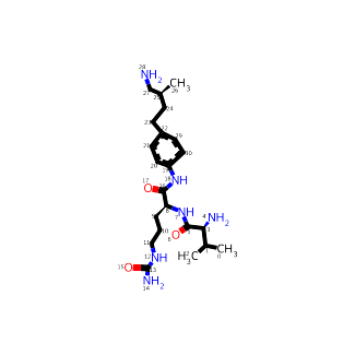 CC(C)[C@H](N)C(=O)N[C@@H](CCCNC(N)=O)C(=O)Nc1ccc(CC[C@H](C)CN)cc1